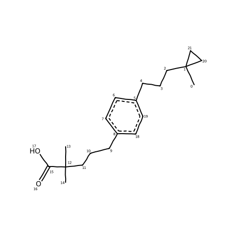 CC1(CCCc2ccc(CCCC(C)(C)C(=O)O)cc2)CC1